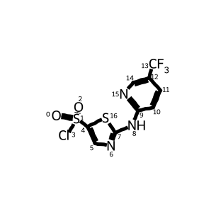 O=S(=O)(Cl)c1cnc(Nc2ccc(C(F)(F)F)cn2)s1